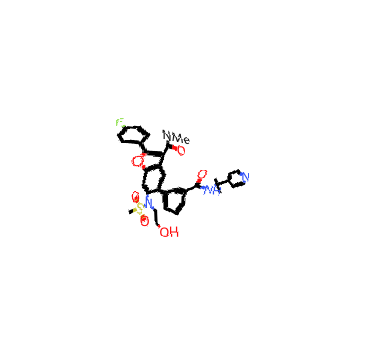 CNC(=O)c1c(-c2ccc(F)cc2)oc2cc(N(CCO)S(C)(=O)=O)c(-c3cccc(C(=O)NC(C)(C)c4ccncc4)c3)cc12